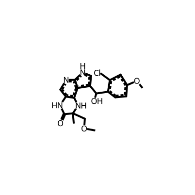 COCC1(C)Nc2c(cnc3[nH]cc(C(O)c4ccc(OC)cc4Cl)c23)NC1=O